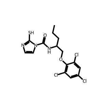 CCCC(COc1c(Cl)cc(Cl)cc1Cl)NC(=O)n1ccnc1S